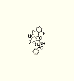 CC(=O)Oc1c(NS(=O)(=O)c2ccccc2)oc(-c2c(F)cccc2F)c1O